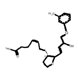 Cc1cccc(OCC(O)/C=C/C2OCC[C@@H]2CC/C=C\CCC(=O)O)c1